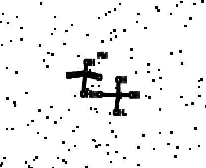 O=S(=O)(O)O.O[Si](O)(O)O.[Pb]